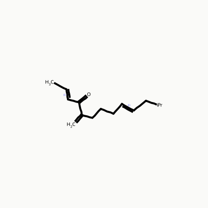 C=C(CCC/C=C/CC(C)C)C(=O)/C=C/C